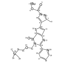 Cc1nn(C(=O)OC(C)(C)C)cc1-c1cc2nc(-c3ccccn3)n(COCC[Si](C)(C)C)c(=O)c2s1